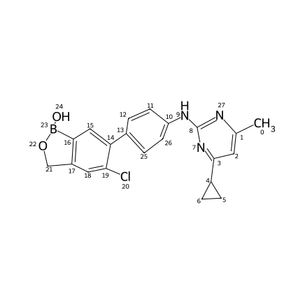 Cc1cc(C2CC2)nc(Nc2ccc(-c3cc4c(cc3Cl)COB4O)cc2)n1